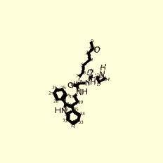 CC(=O)CCCCC[C@H](NC(=O)[C@H]1CCN1)C(=O)NCCc1c(-c2ccccc2)[nH]c2ccccc12